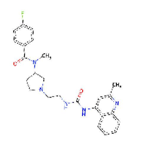 Cc1cc(NC(=O)NCCN2CCC(N(C)C(=O)c3ccc(F)cc3)C2)c2ccccc2n1